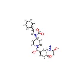 O=C1COc2ccc(C(=O)N3CCC(N4C[C@@H](c5ccccc5)OC4=O)CC3)cc2N1